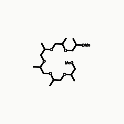 COCC(C)OCC(C)OCC(C)OCC(C)OCC(C)OCC(C)OC